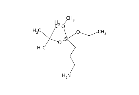 CCO[Si](CCCN)(OC)OC(C)(C)C